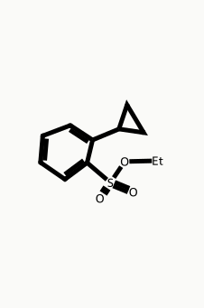 CCOS(=O)(=O)c1ccccc1C1CC1